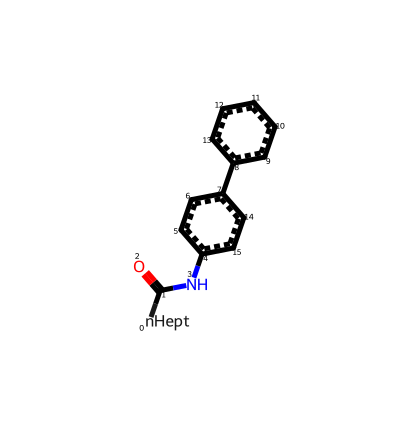 CCCCCCCC(=O)Nc1ccc(-c2cc[c]cc2)cc1